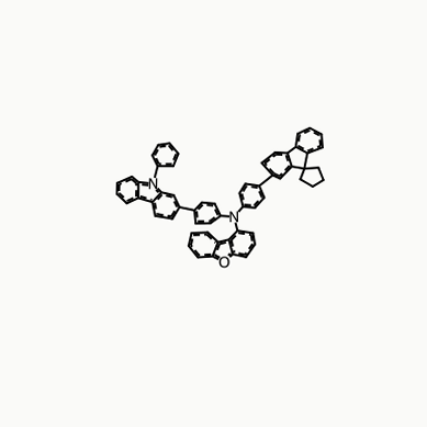 c1ccc(-n2c3ccccc3c3ccc(-c4ccc(N(c5ccc(-c6ccc7c(c6)C6(CCCC6)c6ccccc6-7)cc5)c5cccc6oc7ccccc7c56)cc4)cc32)cc1